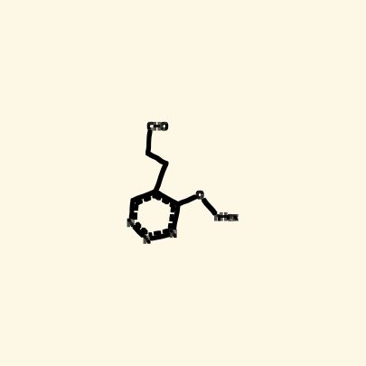 CCCCCCOc1nnncc1CCC=O